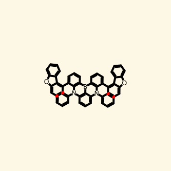 c1ccc(N2c3cccc4c3B(c3cccc(-c5cccc6oc7ccccc7c56)c32)c2cccc(-c3cccc5oc6ccccc6c35)c2N4c2ccccc2)cc1